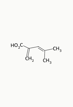 C=C(C=C(C)C)C(=O)O